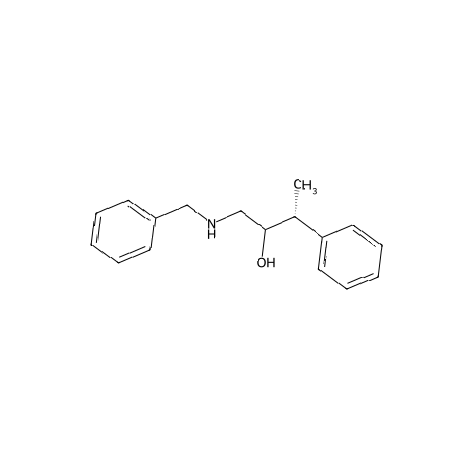 C[C@H](c1ccccc1)C(O)CNCc1ccccc1